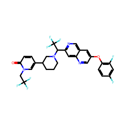 O=c1ccc(C2CCCN(C(c3cc4ncc(Oc5ccc(F)cc5F)cc4cn3)C(F)(F)F)C2)cn1CC(F)(F)F